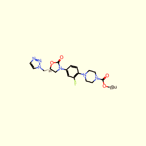 CC(C)(C)OC(=O)N1CCN(c2ccc(N3C[C@H](Cn4ccnn4)OC3=O)cc2F)CC1